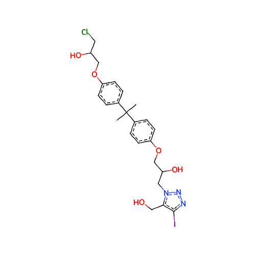 CC(C)(c1ccc(OCC(O)CCl)cc1)c1ccc(OCC(O)Cn2nnc(I)c2CO)cc1